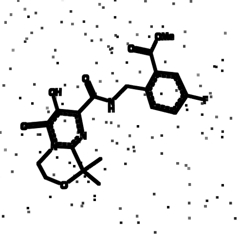 COC(=O)c1cc(F)ccc1CNC(=O)c1nc2n(c(=O)c1O)CCOC2(C)C